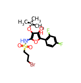 C[Si](C)(C)Oc1c(NS(=O)(=O)CCCBr)oc(-c2ccc(F)cc2F)c1O